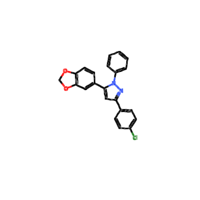 Clc1ccc(-c2cc(-c3ccc4c(c3)OCO4)n(-c3ccccc3)n2)cc1